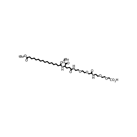 CC(C)(C)OC(=O)CCCCCCCCCCCCCCC(=O)NC(CCC(=O)NCCOCCOCC(=O)NCCOCCOCC(=O)O)C(=O)OC(C)(C)C